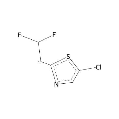 FC(F)[CH]c1ncc(Cl)s1